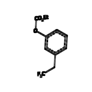 CCOC(=O)Oc1cccc(CC(F)(F)F)c1